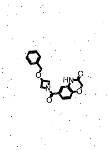 O=C1COc2ccc(C(=O)N3CC(OCc4ccccc4)C3)cc2N1